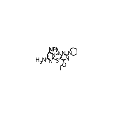 CCOc1nc(N2CCCCC2)nc(OCC)c1Sc1nc(N)cc(N)n1